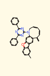 C=C1/C=C\C=C/CN(c2nc(-c3ccccc3)nc(-c3ccccc3)n2)c2cc3oc4ccc(C)cc4c3cc21